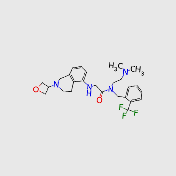 CN(C)CCN(Cc1ccccc1C(F)(F)F)C(=O)CNc1cccc2c1CCN(C1COC1)C2